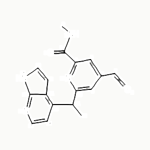 CNC(=O)c1cc(C=O)cc(C(C)c2ccnc3[nH]ccc23)n1